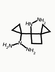 NNC1(C2(N(N)N)CC2)CCC12CC2